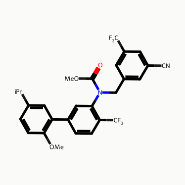 COC(=O)N(Cc1cc(C#N)cc(C(F)(F)F)c1)c1cc(-c2cc(C(C)C)ccc2OC)ccc1C(F)(F)F